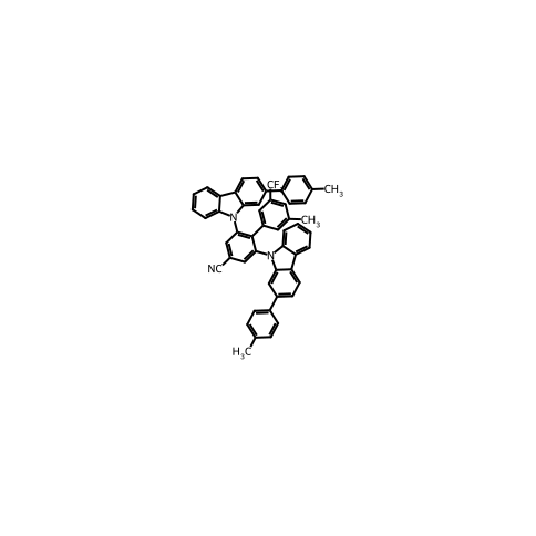 Cc1ccc(-c2ccc3c4ccccc4n(-c4cc(C#N)cc(-n5c6ccccc6c6ccc(-c7ccc(C)cc7)cc65)c4-c4cc(C)cc(C(F)(F)F)c4)c3c2)cc1